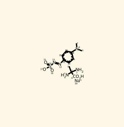 CC(N)(N)C(=O)O.CN(C)c1ccc(/N=N/S(=O)(=O)[O-])cc1.[Na+]